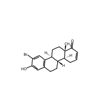 C[C@]12CC[C@@H]3c4cc(Br)c(O)cc4CC[C@H]3[C@@H]1CC=CC2=O